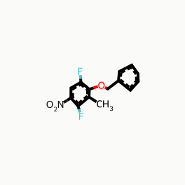 Cc1c(F)c([N+](=O)[O-])cc(F)c1OCc1ccccc1